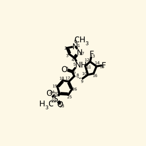 Cn1ccc(NC(=O)[C@H](CC2CC(F)C(F)C2)c2ccc(S(C)(=O)=O)cc2)n1